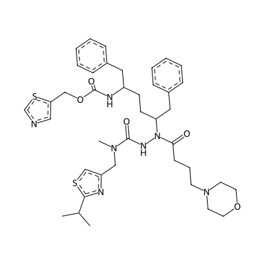 CC(C)c1nc(CN(C)C(=O)NN(C(=O)CCCN2CCOCC2)C(CCC(Cc2ccccc2)NC(=O)OCc2cncs2)Cc2ccccc2)cs1